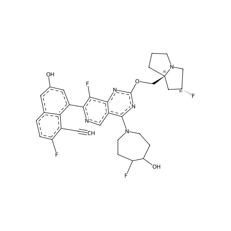 C#Cc1c(F)ccc2cc(O)cc(-c3ncc4c(N5CCC(O)C(F)CC5)nc(OC[C@@]56CCCN5C[C@H](F)C6)nc4c3F)c12